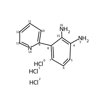 Cl.Cl.Cl.Nc1cccc(-c2ccccn2)c1N